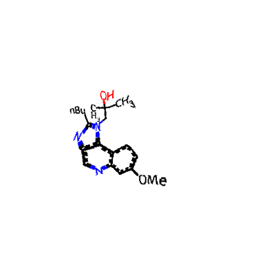 CCCCc1nc2cnc3cc(OC)ccc3c2n1CC(C)(C)O